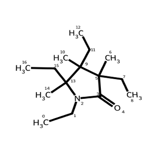 CCN1C(=O)C(C)(CC)C(C)(CC)C1(C)CC